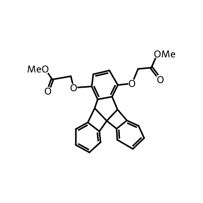 COC(=O)COc1ccc(OCC(=O)OC)c2c1C1c3ccccc3C13c1ccccc1C23